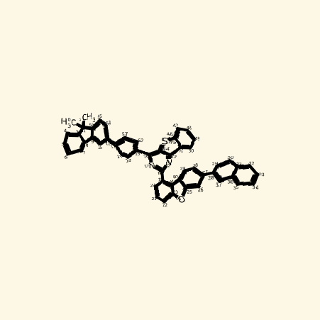 CC1(C)c2ccccc2-c2cc(-c3ccc(-c4nc(-c5cccc6oc7cc(-c8ccc9ccccc9c8)ccc7c56)nc5c4sc4ccccc45)cc3)ccc21